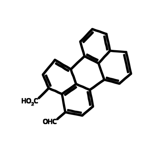 O=Cc1ccc2c3cccc4cccc(c5ccc(C(=O)O)c1c25)c43